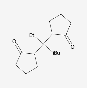 CCC(C)C(CC)(C1CCCC1=O)C1CCCC1=O